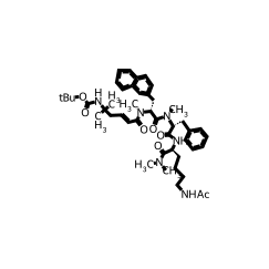 CC(=O)NCCCC[C@H](NC(=O)[C@@H](Cc1ccccc1)N(C)C(=O)[C@@H](Cc1ccc2ccccc2c1)N(C)C(=O)/C=C/CC(C)(C)NC(=O)OC(C)(C)C)C(=O)N(C)C